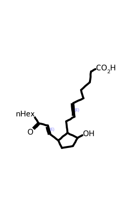 CCCCCCC(=O)/C=C/C1CCC(O)C1C/C=C/CCCCC(=O)O